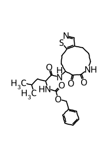 CC(C)CC(NC(=O)OCc1ccccc1)C(=O)NC1CCc2sncc2CCCNC(=O)C1=O